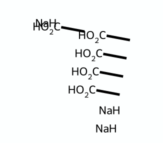 CC(=O)O.CC(=O)O.CC(=O)O.CC(=O)O.CC(=O)O.[NaH].[NaH].[NaH]